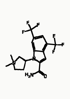 C[Si]1(C)CCC(n2c(C(N)=O)cc3c(C(F)(F)F)cc(C(F)(F)F)cc32)C1